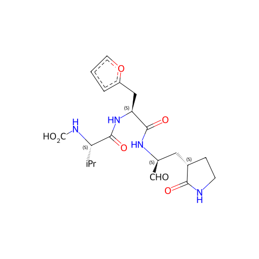 CC(C)[C@H](NC(=O)O)C(=O)N[C@@H](Cc1ccco1)C(=O)N[C@H](C=O)C[C@@H]1CCNC1=O